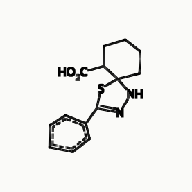 O=C(O)C1CCCCC12NN=C(c1ccccc1)S2